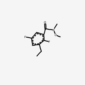 CCc1[c]c(F)cc(C(=O)N(C)OC)c1F